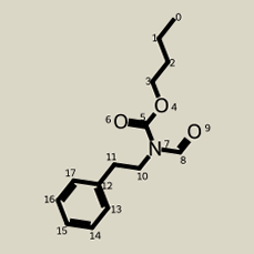 CCCCOC(=O)N(C=O)CCc1ccccc1